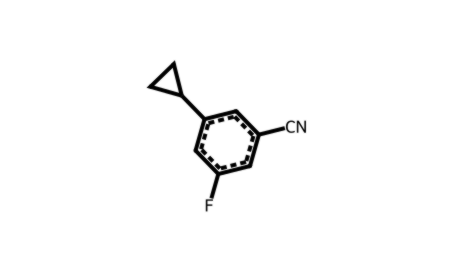 N#Cc1cc(F)cc(C2CC2)c1